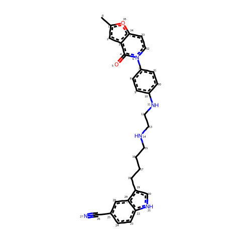 Cc1cc2c(=O)n(-c3ccc(NCCNCCCCc4c[nH]c5ccc(C#N)cc45)cc3)ccc2o1